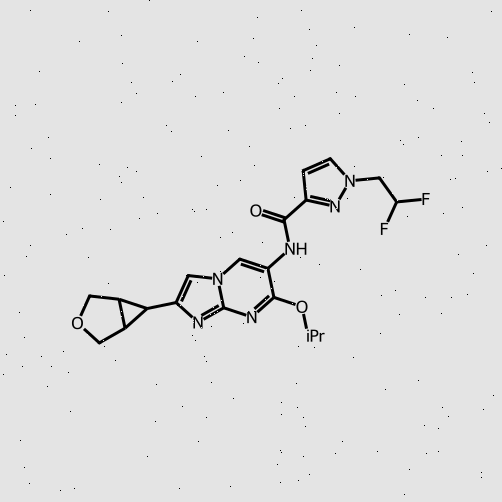 CC(C)Oc1nc2nc(C3C4COCC43)cn2cc1NC(=O)c1ccn(CC(F)F)n1